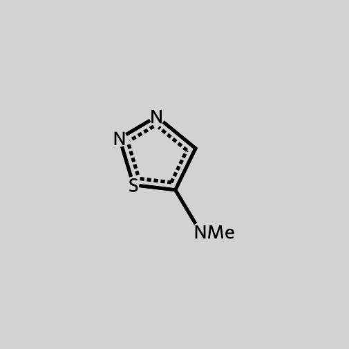 CNc1cnns1